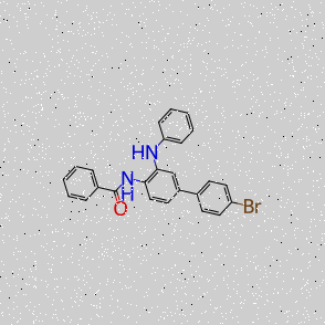 O=C(Nc1ccc(-c2ccc(Br)cc2)cc1Nc1ccccc1)c1ccccc1